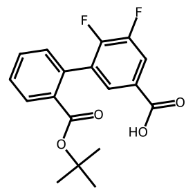 CC(C)(C)OC(=O)c1ccccc1-c1cc(C(=O)O)cc(F)c1F